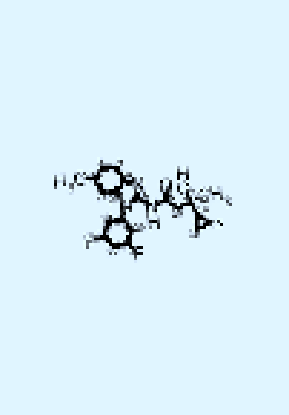 Cc1ccc2nc(NC(=O)C[C@](C)(O)C3CC3)n(-c3cc(F)cc(F)c3)c2c1